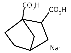 O=C(O)C1CC2CCC1(C(=O)O)C2.[Na]